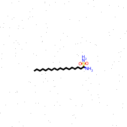 CCCCCCCCCCCCCCCCCC(N)S(N)(=O)=O